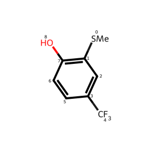 CSc1cc(C(F)(F)F)ccc1O